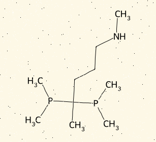 CNCCCC(C)(P(C)C)P(C)C